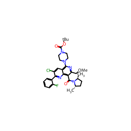 COCc1nc(N2CCN(C(=O)OC(C)(C)C)CC2)c2cc(Cl)c(-c3ccccc3F)nc2c1C(=O)N1[C@@H](C)CC[C@@H]1C